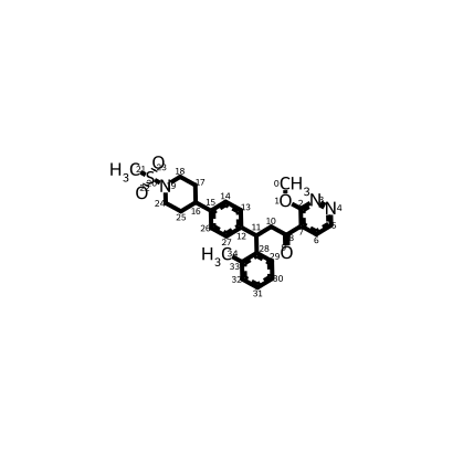 COc1nnccc1C(=O)CC(c1ccc(C2CCN(S(C)(=O)=O)CC2)cc1)c1ccccc1C